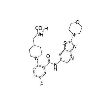 O=C(O)NCC1CCN(c2ccc(F)cc2C(=O)Nc2cnc3nc(N4CCOCC4)sc3c2)CC1